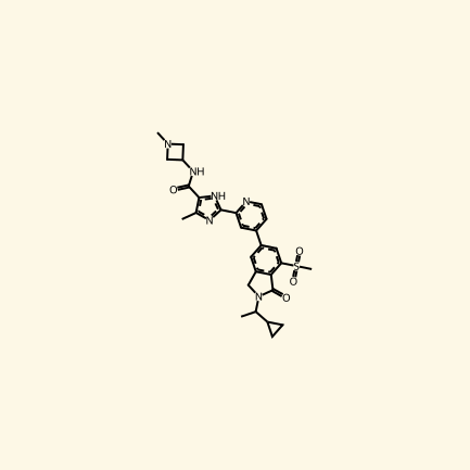 Cc1nc(-c2cc(-c3cc4c(c(S(C)(=O)=O)c3)C(=O)N(C(C)C3CC3)C4)ccn2)[nH]c1C(=O)NC1CN(C)C1